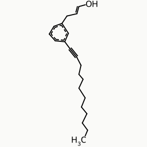 CCCCCCCCCCC#Cc1cccc(CC=CO)c1